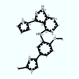 COc1ccc(-c2csc(C)n2)cc1Nc1ncnc2[nH]nc(-c3ccco3)c12